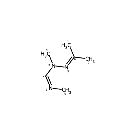 C/N=C\N(C)N=C(C)C